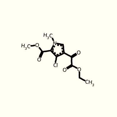 CCOC(=O)C(=O)c1cn(C)c(C(=O)OC)c1Cl